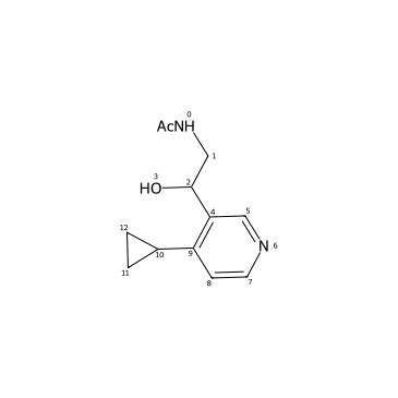 CC(=O)NCC(O)c1cnccc1C1CC1